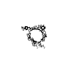 CC(C)C[C@@H]1NC(=O)[C@@H](Cc2ccccc2)NC(=O)[C@H](CCN)NC(=O)[C@@H](NC(=O)Cc2ccc(N(C)C)cc2)CCNC(=O)[C@H]([C@@H](C)O)NC(=O)[C@H](CCN)NC(=O)[C@H](CCN)NC1=O